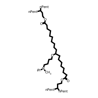 CCCCCC(CCCCC)CCOC(=O)CCCCCCCCCC(CCCCCCCC(=O)OCCC(CCCCC)CCCCC)OCCCCN(C)C(C)C